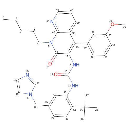 CCCCCn1c(=O)c(NC(=O)Nc2cc(Cn3ccnc3)ccc2C(C)(C)C)c(-c2cccc(OC)c2)c2cccnc21